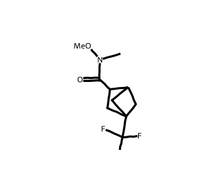 CON(C)C(=O)C1CC2(C(C)(F)F)CC1C2